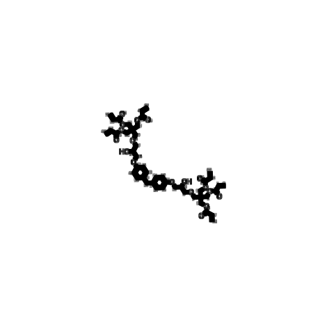 C=CC(=O)OCC(COCC(O)COc1ccc(Cc2ccc(OCC(O)COCC(COC(=O)C=C)(COC(=O)C=C)COC(=O)C=C)cc2)cc1)(COC(=O)C=C)COC(=O)C=C